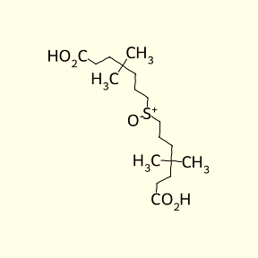 CC(C)(CCC[S+]([O-])CCCC(C)(C)CCC(=O)O)CCC(=O)O